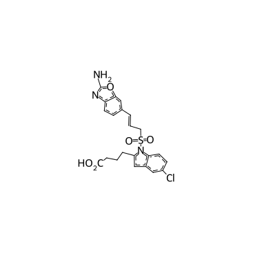 Nc1nc2ccc(C=CCS(=O)(=O)n3c(CCCC(=O)O)cc4cc(Cl)ccc43)cc2o1